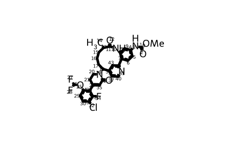 COC(=O)Nc1ccc2c(c1)NC(=O)C(C)CCC[C@H](N1CCC(c3c(OC(F)F)ccc(Cl)c3F)=CC1=O)c1ccnc-2c1